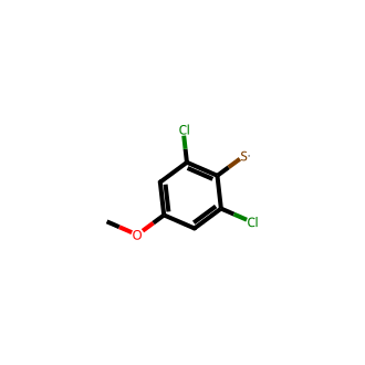 COc1cc(Cl)c([S])c(Cl)c1